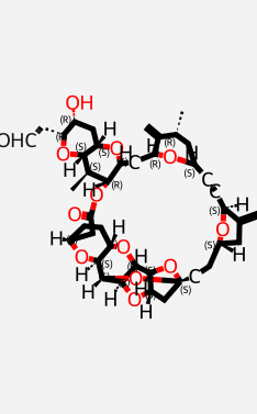 C=C1C[C@@H]2CC[C@@]34C[C@@H]5O[C@@H]6[C@@H](O[C@H]7CC[C@H](CC(=O)O[C@@H]8[C@@H](C)[C@@H]9O[C@H](CC=O)[C@H](O)C[C@@H]9O[C@H]8C[C@H]8O[C@@H](CC[C@@H]1O2)C[C@@H](C)C8=C)O[C@@H]7[C@@H]6O3)[C@H]5O4